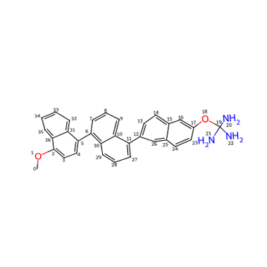 COc1ccc(-c2cccc3c(-c4ccc5cc(OC(N)(N)N)ccc5c4)cccc23)c2ccccc12